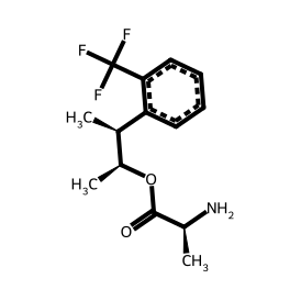 C[C@H](N)C(=O)O[C@@H](C)[C@@H](C)c1ccccc1C(F)(F)F